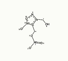 O=[N+]([O-])OCc1c(CO)no[n+]1[O-]